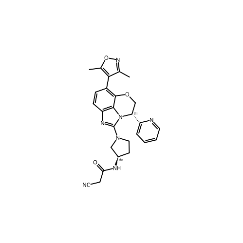 Cc1noc(C)c1-c1ccc2nc(N3CC[C@@H](NC(=O)CC#N)C3)n3c2c1OC[C@@H]3c1ccccn1